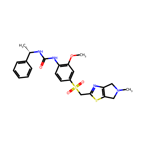 COc1cc(S(=O)(=O)Cc2nc3c(s2)CN(C)C3)ccc1NC(=O)N[C@@H](C)c1ccccc1